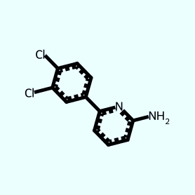 Nc1cccc(-c2ccc(Cl)c(Cl)c2)n1